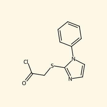 O=C(Cl)CSc1nccn1-c1ccccc1